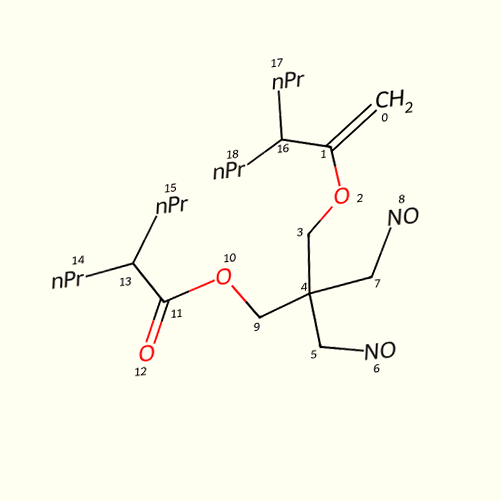 C=C(OCC(CN=O)(CN=O)COC(=O)C(CCC)CCC)C(CCC)CCC